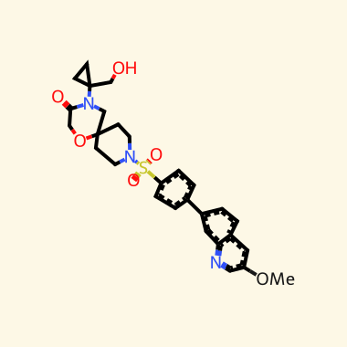 COc1cnc2cc(-c3ccc(S(=O)(=O)N4CCC5(CC4)CN(C4(CO)CC4)C(=O)CO5)cc3)ccc2c1